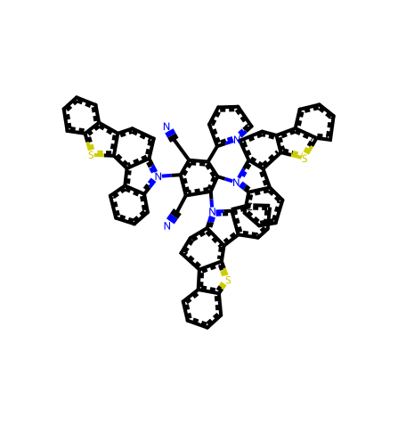 N#Cc1c(-c2ccccn2)c(-n2c3ccccc3c3c4sc5ccccc5c4ccc32)c(-n2c3ccccc3c3c4sc5ccccc5c4ccc32)c(C#N)c1-n1c2ccccc2c2c3sc4ccccc4c3ccc21